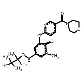 Cn1cc(BOC(C)(C)C(C)(C)O)cc(Nc2ccc(C(=O)N3CCOCC3)cn2)c1=O